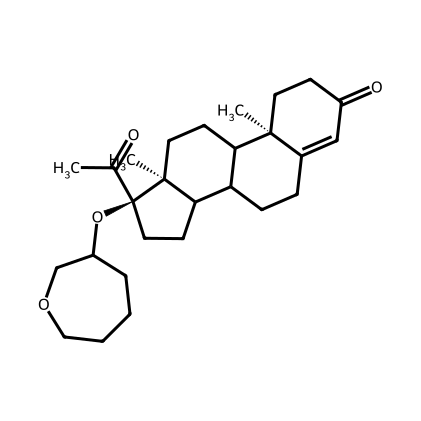 CC(=O)[C@@]1(OC2CCCCOC2)CCC2C3CCC4=CC(=O)CC[C@]4(C)C3CC[C@@]21C